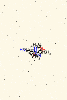 CCC(CC)Oc1cc2c(Nc3cc(/C=C/C=N)ccc3OC)ncnc2cc1OC